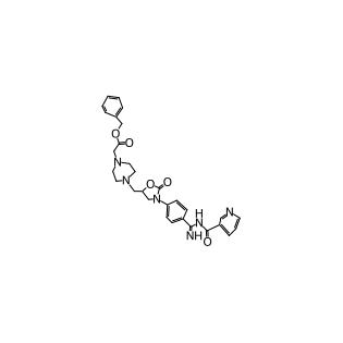 N=C(NC(=O)c1cccnc1)c1ccc(N2CC(CN3CCN(CC(=O)OCc4ccccc4)CC3)OC2=O)cc1